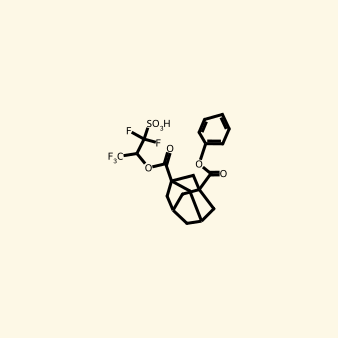 O=C(Oc1ccccc1)C12CC3CC(C1)CC(C(=O)OC(C(F)(F)F)C(F)(F)S(=O)(=O)O)(C3)C2